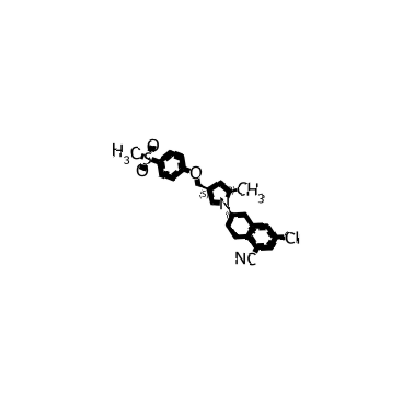 C[C@@H]1C[C@H](COc2ccc(S(C)(=O)=O)cc2)CN1[C@H]1CCc2c(C#N)cc(Cl)cc2C1